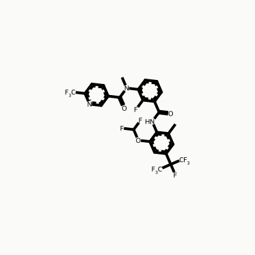 Cc1cc(C(F)(C(F)(F)F)C(F)(F)F)cc(OC(F)F)c1NC(=O)c1cccc(N(C)C(=O)c2ccc(C(F)(F)F)nc2)c1F